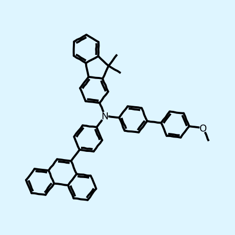 COc1ccc(-c2ccc(N(c3ccc(-c4cc5ccccc5c5ccccc45)cc3)c3ccc4c(c3)C(C)(C)c3ccccc3-4)cc2)cc1